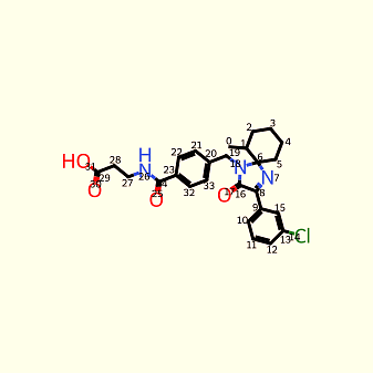 CC1CCCCC12N=C(c1cccc(Cl)c1)C(=O)N2Cc1ccc(C(=O)NCCC(=O)O)cc1